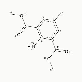 COC(=O)c1cc(C)cc(C(=O)OC)c1N